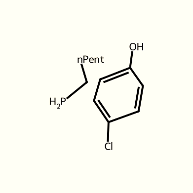 CCCCCCP.Oc1ccc(Cl)cc1